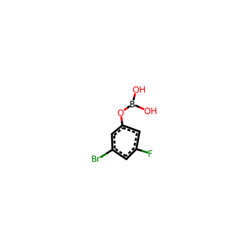 OB(O)Oc1cc(F)cc(Br)c1